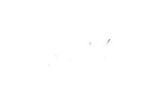 O=C(C[C@@H]1CCC(=O)N1Cc1cc(Cl)ccc1F)N[C@@H](CC1CC1)C(=O)O